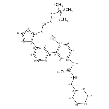 C[Si](C)(C)CCOCn1cnnc1-c1cncc(-c2cc(OC(=O)NCC3CCCCC3)ccc2O)c1